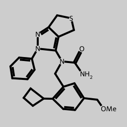 COCc1ccc(C2CCC2)c(CN(C(N)=O)c2c3c(nn2-c2ccccc2)CSC3)c1